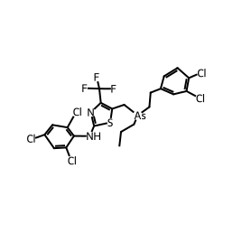 CCC[As](CCc1ccc(Cl)c(Cl)c1)Cc1sc(Nc2c(Cl)cc(Cl)cc2Cl)nc1C(F)(F)F